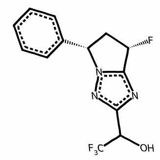 OC(c1nc2n(n1)[C@H](c1ccccc1)C[C@@H]2F)C(F)(F)F